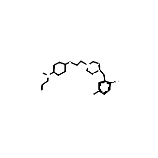 CCN(CCO)C1CCC(CCCN2CCC(Cc3cc(Cl)ccc3Br)CC2)CC1